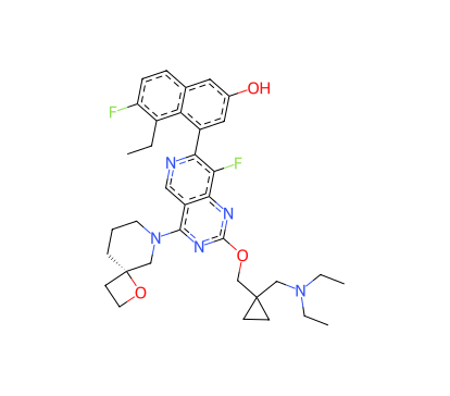 CCc1c(F)ccc2cc(O)cc(-c3ncc4c(N5CCC[C@]6(CCO6)C5)nc(OCC5(CN(CC)CC)CC5)nc4c3F)c12